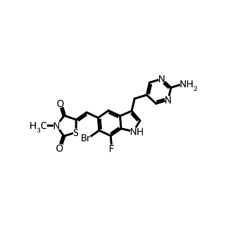 CN1C(=O)S/C(=C\c2cc3c(Cc4cnc(N)nc4)c[nH]c3c(F)c2Br)C1=O